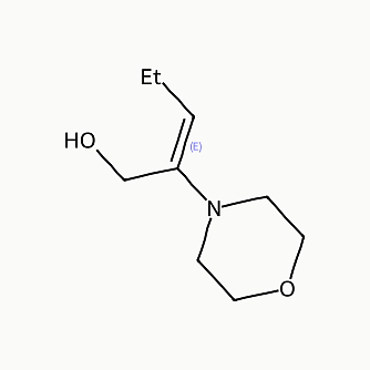 CC/C=C(\CO)N1CCOCC1